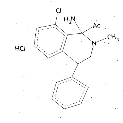 CC(=O)C1(N)c2c(Cl)cccc2C(c2ccccc2)CN1C.Cl